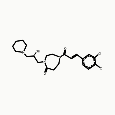 O=C(/C=C/c1ccc(Cl)c(Cl)c1)N1CCC(=O)N(C[C@H](O)CN2CCCCC2)CC1